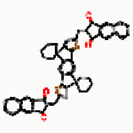 O=C1C(=Cc2cc3c(s2)-c2cc4c(cc2C32CCCCC2)-c2sc(C=C3C(=O)c5cc6ccccc6cc5C3=O)cc2C42CCCCC2)C(=O)c2cc3ccccc3cc21